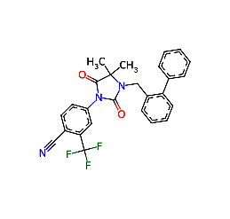 CC1(C)C(=O)N(c2ccc(C#N)c(C(F)(F)F)c2)C(=O)N1Cc1ccccc1-c1ccccc1